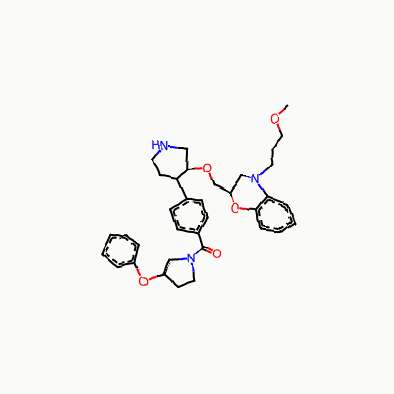 COCCCN1CC(COC2CNCCC2c2ccc(C(=O)N3CCC(Oc4ccccc4)C3)cc2)Oc2ccccc21